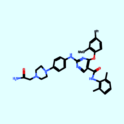 CCCc1ccc(Oc2nc(Nc3ccc(N4CCN(CC(N)=O)CC4)cc3)ncc2C(=O)Nc2c(C)cccc2C)c(OC)c1